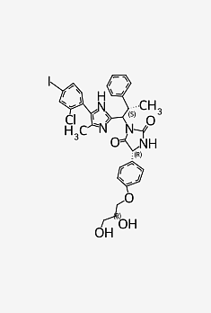 Cc1nc(C([C@@H](C)c2ccccc2)N2C(=O)N[C@H](c3ccc(OC[C@H](O)CO)cc3)C2=O)[nH]c1-c1ccc(I)cc1Cl